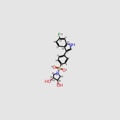 O=S(=O)(c1ccc(-c2c[nH]c3cc(F)ccc23)cc1)N1C[C@@H](O)[C@@H](O)C1